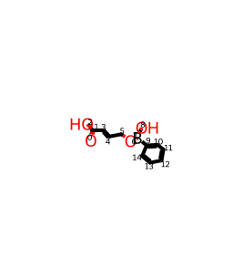 O=C(O)C=CCOB(O)c1ccccc1